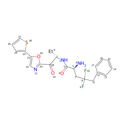 CC[C@H](NC(=O)[C@@H](N)CC(F)(F)Cc1ccccc1)C(=O)c1ncc(-c2cccs2)o1